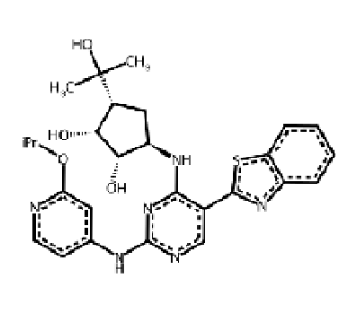 CC(C)Oc1cc(Nc2ncc(-c3nc4ccccc4s3)c(N[C@@H]3C[C@@H](C(C)(C)O)[C@@H](O)[C@H]3O)n2)ccn1